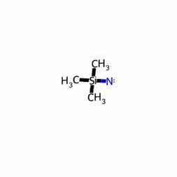 C[Si](C)(C)[N]